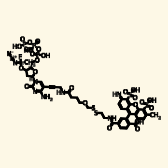 Cc1ccc2c(-c3cc(C(=O)NCCSSCOCCCC(=O)NCC#Cc4cn([C@H]5CC(O[C@](C)(F)N=[N+]=[N-])[C@@H](COP(=O)(O)OP(=O)(O)OP(=O)(O)O)O5)c(=O)nc4N)ccc3C(=O)O)c3ccc(=N)c(S(=O)(=O)O)c-3oc2c1S(=O)(=O)O